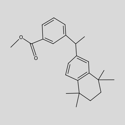 COC(=O)c1cccc(C(C)c2ccc3c(c2)C(C)(C)CCC3(C)C)c1